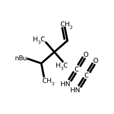 C=CC(C)(C)C(C)CCCC.N=C=O.N=C=O